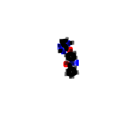 CN1CCc2ncnc(Oc3ccc(NC(=O)c4ccccc4)cc3)c21